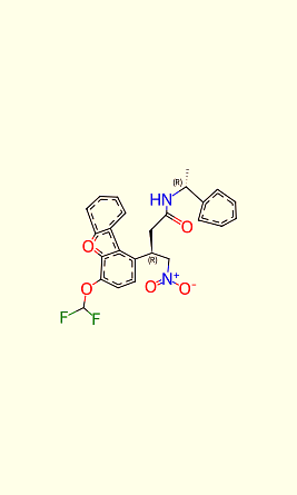 C[C@@H](NC(=O)C[C@@H](C[N+](=O)[O-])c1ccc(OC(F)F)c2oc3ccccc3c12)c1ccccc1